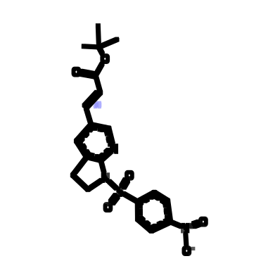 CC(C)(C)OC(=O)/C=C/c1cnc2c(c1)CCN2S(=O)(=O)c1ccc([N+](=O)[O-])cc1